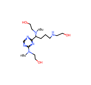 CCCCN(CCO)c1ncnc(C(CCCNCCO)N(CCO)CCCC)n1